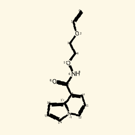 C=COCCONC(=O)c1cccn2cccc12